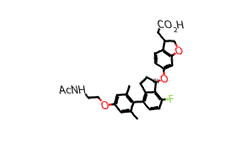 CC(=O)NCCOc1cc(C)c(-c2ccc(F)c3c2CC[C@H]3Oc2ccc3c(c2)OCC3CC(=O)O)c(C)c1